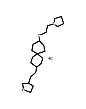 C1CCN(CCOC2CCC3(CCC(CCC4CCOC4)CC3)CC2)C1.Cl